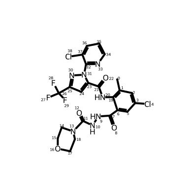 Cc1cc(Cl)cc(C(=O)NNC(=O)N2CCOCC2)c1NC(=O)c1cc(C(F)(F)F)nn1-c1ncccc1Cl